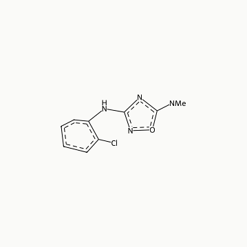 CNc1nc(Nc2ccccc2Cl)no1